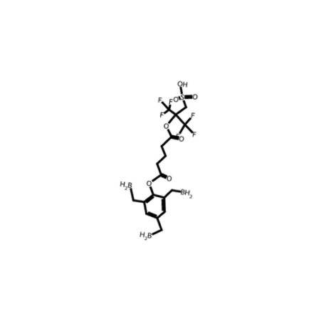 BCc1cc(CB)c(OC(=O)CCCC(=O)OC(CS(=O)(=O)O)(C(F)(F)F)C(F)(F)F)c(CB)c1